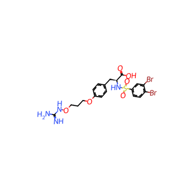 N=C(N)NOCCCOc1ccc(C[C@H](NS(=O)(=O)c2ccc(Br)c(Br)c2)C(=O)O)cc1